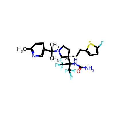 Cc1ccc(C(C)(C)N2CC[C@@](CCc3ccc(F)s3)(C(NC(N)=O)(C(F)(F)F)C(F)(F)F)C2)cn1